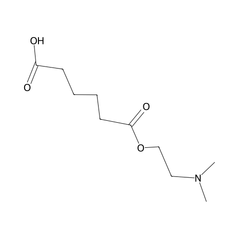 CN(C)CCOC(=O)CCCCC(=O)O